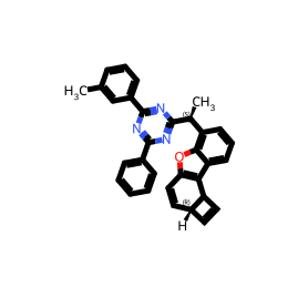 Cc1cccc(-c2nc(-c3ccccc3)nc([C@@H](C)c3cccc4c5c(oc34)C=C[C@H]3C=CC53)n2)c1